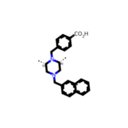 C[C@@H]1CN(Cc2ccc3ccccc3c2)C[C@H](C)N1Cc1ccc(C(=O)O)cc1